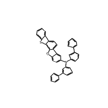 c1ccc(-c2cccc(N(c3cccc(-c4ccccc4)c3)c3ccc4oc5c(ccc6c7ccccc7sc65)c4c3)c2)cc1